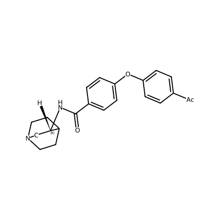 CC(=O)c1ccc(Oc2ccc(C(=O)N[C@H]3CN4CCC3CC4)cc2)cc1